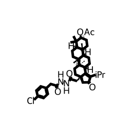 CC(=O)O[C@H]1CC[C@]2(C)[C@H]3CC[C@@H]4C5=C(C(C)C)C(=O)C[C@]5(CC(=O)NNC(=O)Cc5ccc(Cl)cc5)CC[C@@]4(C)[C@]3(C)CC[C@H]2C1(C)C